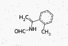 C=C(NC=O)c1ccccc1C